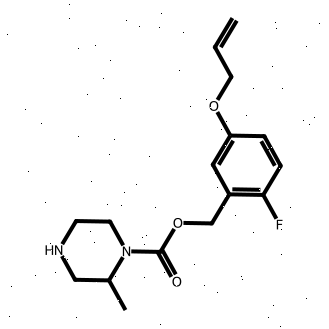 C=CCOc1ccc(F)c(COC(=O)N2CCNCC2C)c1